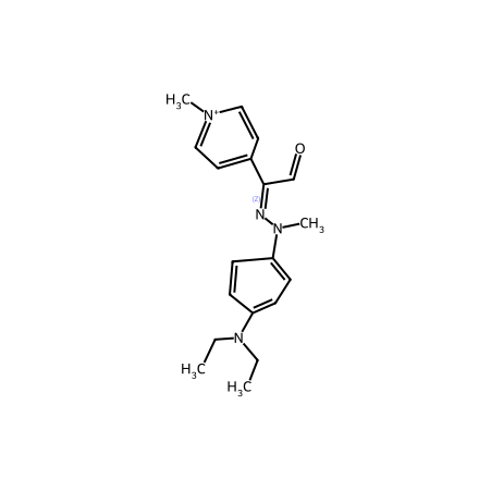 CCN(CC)c1ccc(N(C)/N=C(\C=O)c2cc[n+](C)cc2)cc1